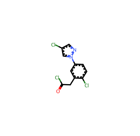 O=C(Cl)Cc1cc(-n2cc(Cl)cn2)ccc1Cl